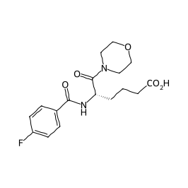 O=C(O)CCC[C@H](NC(=O)c1ccc(F)cc1)C(=O)N1CCOCC1